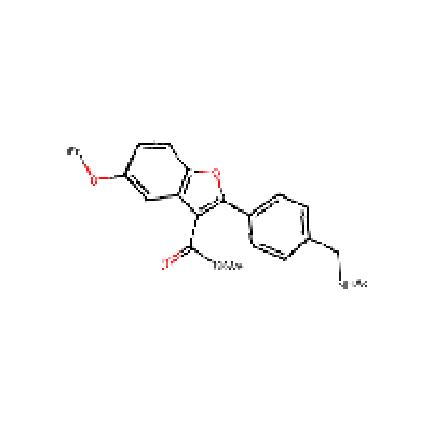 CNC(=O)c1c(-c2ccc(CNC(C)=O)cc2)oc2ccc(OC(C)C)cc12